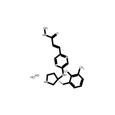 Cc1cccc(C[C@@]2(Nc3cnc(/C=C/C(=O)NO)cn3)CCNC2)c1C.Cl.Cl